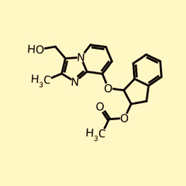 CC(=O)OC1Cc2ccccc2C1Oc1cccn2c(CO)c(C)nc12